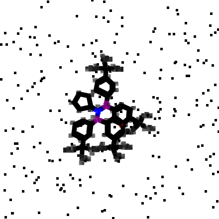 CCCC[Si](CCCC)(CCCC)c1ccc(P(c2ccc([Si](CCCC)(CCCC)CCCC)cc2)N(C2CCCC2)P(c2cccc([Si](CCCC)(CCCC)CCCC)c2)c2cccc([Si](CCCC)(CCCC)CCCC)c2)cc1